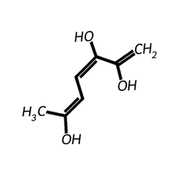 C=C(O)/C(O)=C\C=C(/C)O